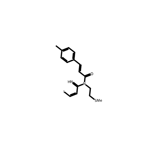 CSCCN(C(=N)/C=C\I)C(=O)/C=C/c1ccc(C)cc1